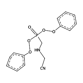 N#CCNCP(=O)(OOc1ccccc1)OOc1ccccc1